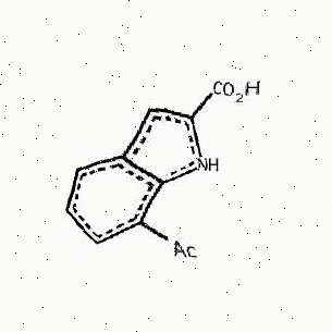 CC(=O)c1cccc2cc(C(=O)O)[nH]c12